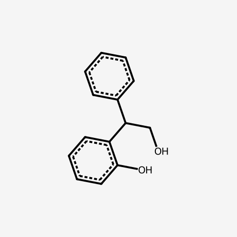 OCC(c1ccccc1)c1ccccc1O